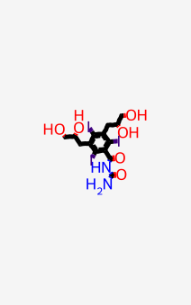 NC(=O)NC(=O)c1c(I)c(CC(O)CO)c(I)c(CC(O)CO)c1I